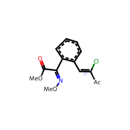 CON=C(C(=O)OC)c1ccccc1/C=C(\Cl)C(C)=O